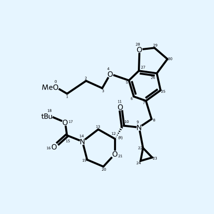 COCCCOc1cc(CN(C(=O)[C@H]2CN(C(=O)OC(C)(C)C)CCO2)C2CC2)cc2c1OCC2